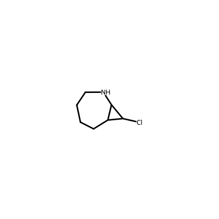 ClC1C2CCCCNC12